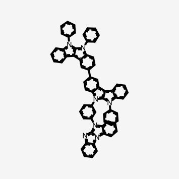 c1ccc(-n2c3ccccc3c3c4cc(-c5ccc6c(c5)c5c7ccccc7n(-c7ccccc7)c5n6-c5cccc(-n6c7ccccc7n7c8ccccc8nc67)c5)ccc4n(-c4ccccc4)c32)cc1